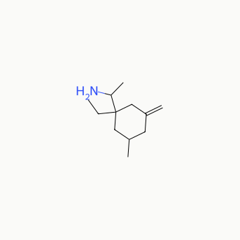 C=C1CC(C)CC(CC)(C(C)N)C1